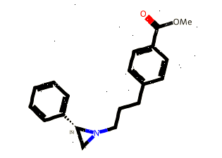 COC(=O)c1ccc(CCCN2C[C@@H]2c2ccccc2)cc1